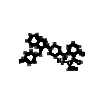 CCCCOC(=O)n1c(N(C)C2CCN(c3nc4ccccc4n3Cc3ccc(F)cc3)CC2)nccc1=O